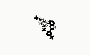 CC(C)(C)OC(=O)/N=C(/NCc1cccc2ncc(-c3cccc(C(C)(C)C)c3)nc12)NC(=O)OC(C)(C)C